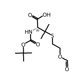 CC(C)(C)OC(=O)N[C@H](C(=O)O)C(C)(C)SCCOC=O